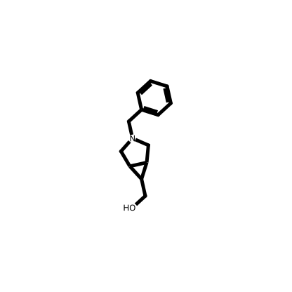 OCC1C2CN(Cc3ccccc3)CC12